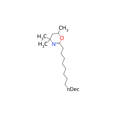 CCCCCCCCCCCCCCCCCCC1=NC(C)(C)CC(C)O1